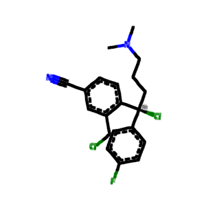 CN(C)CCC[C@](Cl)(c1ccc(F)cc1)c1ccc(C#N)cc1CCl